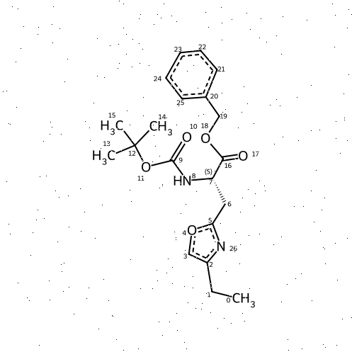 CCc1coc(C[C@H](NC(=O)OC(C)(C)C)C(=O)OCc2ccccc2)n1